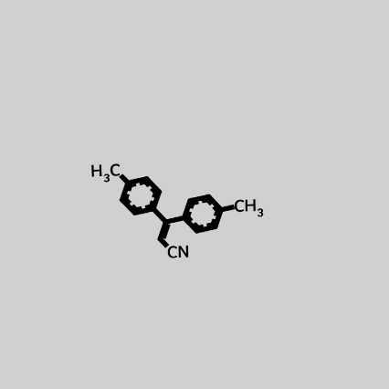 Cc1ccc(C(=CC#N)c2ccc(C)cc2)cc1